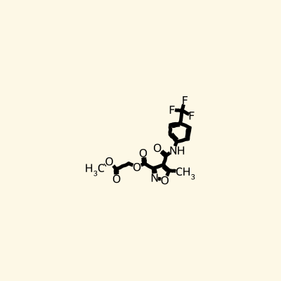 COC(=O)COC(=O)c1noc(C)c1C(=O)Nc1ccc(C(F)(F)F)cc1